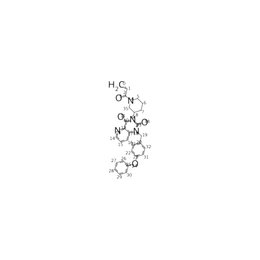 C=CC(=O)N1CCCC(n2c(=O)c3ncccc3n(Cc3ccc(Oc4ccccc4)cc3)c2=O)C1